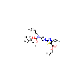 CCCCN(C(=O)OC(C)(C)C)C1CN(c2nc(C)c(C(=O)OCC)s2)C1